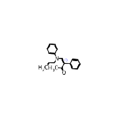 C=CCN(/C=C(\C(C)=O)c1ccccc1)c1ccccc1